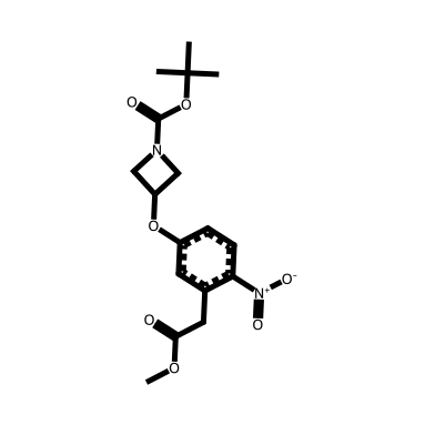 COC(=O)Cc1cc(OC2CN(C(=O)OC(C)(C)C)C2)ccc1[N+](=O)[O-]